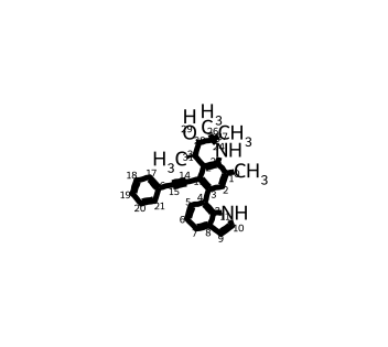 Cc1cc(-c2cccc3cc[nH]c23)c(C#Cc2ccccc2)c2c1NC(C)(C)[C@@H](O)[C@@H]2C